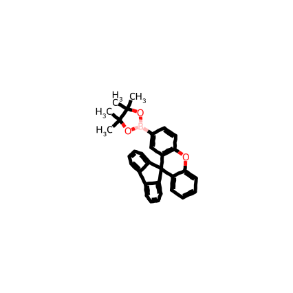 CC1(C)OB(c2ccc3c(c2)C2(c4ccccc4O3)c3ccccc3-c3ccccc32)OC1(C)C